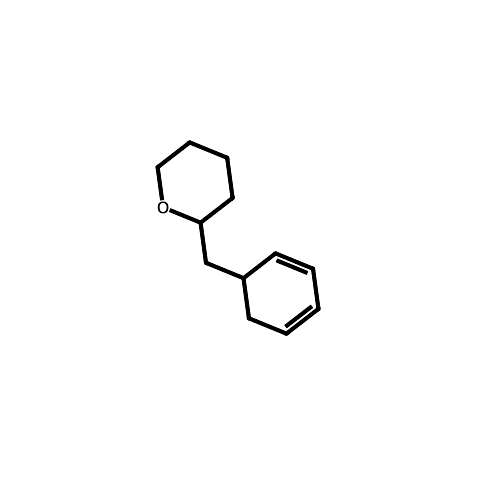 C1=CCC(CC2CCCCO2)C=C1